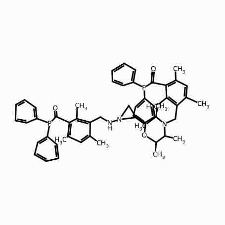 Cc1cc(C)c(C(=O)P(c2ccccc2)c2ccccc2)c(C)c1CNN1CC1COC(C)C(C)N(Cc1c(C)cc(C)c(C(=O)P(c2ccccc2)c2ccccc2)c1C)C(C)C